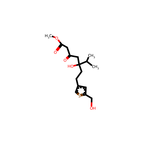 COC(=O)CC(=O)CC(O)(CCc1csc(CO)c1)C(C)C